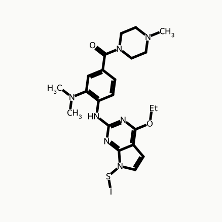 CCOc1nc(Nc2ccc(C(=O)N3CCN(C)CC3)cc2N(C)C)nc2c1ccn2SI